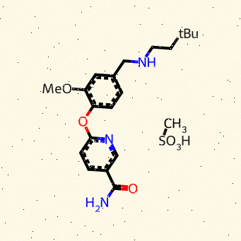 COc1cc(CNCCC(C)(C)C)ccc1Oc1ccc(C(N)=O)cn1.CS(=O)(=O)O